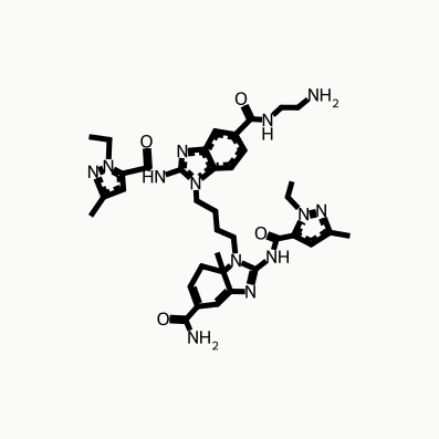 CCn1nc(C)cc1C(=O)NC1=NC2=CC(C(N)=O)=CCC2(C)N1CCCCn1c(NC(=O)c2cc(C)nn2CC)nc2cc(C(=O)NCCN)ccc21